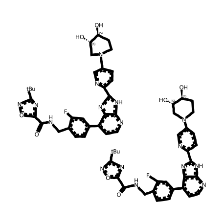 CC(C)(C)c1noc(C(=O)NCc2ccc(-c3ccnc4[nH]c(-c5ccc(N6CC[C@H](O)[C@@H](O)C6)cn5)nc34)cc2F)n1.CC(C)(C)c1noc(C(=O)NCc2ccc(-c3ccnc4[nH]c(-c5ccc(N6CC[C@H](O)[C@@H](O)C6)cn5)nc34)cc2F)n1